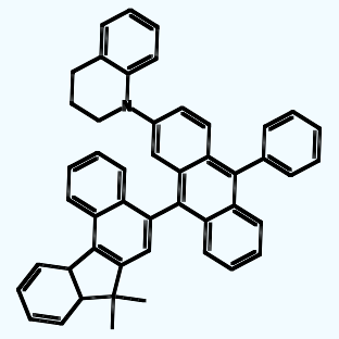 CC1(C)c2cc(-c3c4ccccc4c(-c4ccccc4)c4ccc(N5CCCc6ccccc65)cc34)c3ccccc3c2C2C=CC=CC21